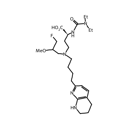 CCN(CC)C(=O)N[C@@H](CCN(CCCCc1ccc2c(n1)NCCC2)CC(CF)OC)C(=O)O